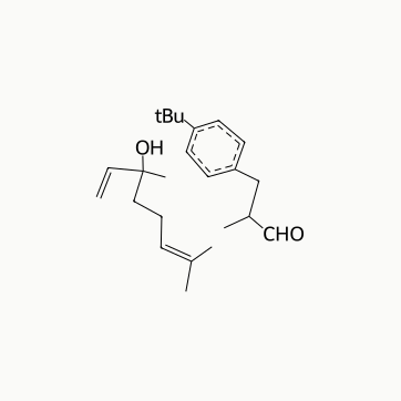 C=CC(C)(O)CCC=C(C)C.CC(C=O)Cc1ccc(C(C)(C)C)cc1